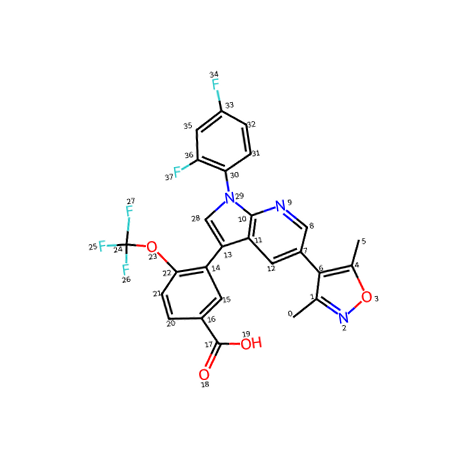 Cc1noc(C)c1-c1cnc2c(c1)c(-c1cc(C(=O)O)ccc1OC(F)(F)F)cn2-c1ccc(F)cc1F